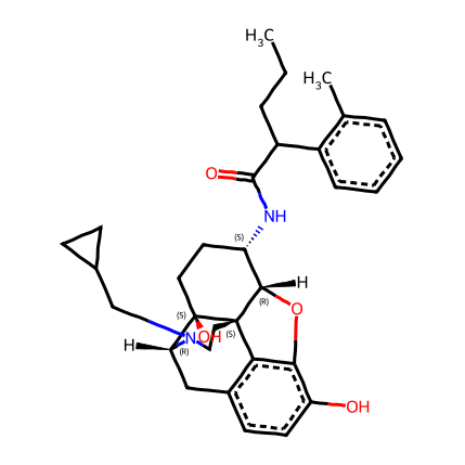 CCCC(C(=O)N[C@H]1CC[C@@]2(O)[C@H]3Cc4ccc(O)c5c4[C@@]2(CCN3CC2CC2)[C@H]1O5)c1ccccc1C